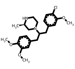 COc1cc(CC(Cc2ccc(OC)c(OC)c2)N2CCN[C@H](C)C2)ccc1Cl